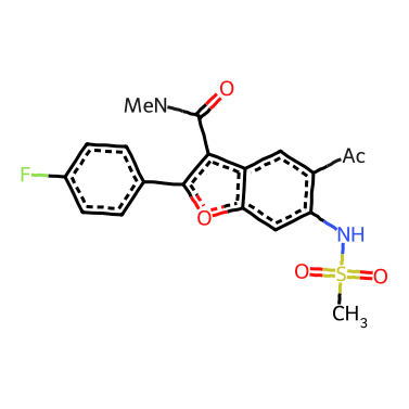 CNC(=O)c1c(-c2ccc(F)cc2)oc2cc(NS(C)(=O)=O)c(C(C)=O)cc12